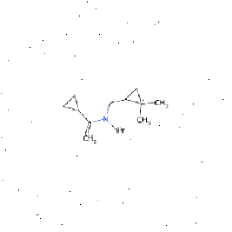 C=C(C1CC1)N(CC1CC1(C)C)C(C)C